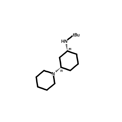 CC(C)(C)N[C@@H]1CCC[C@H](N2CCCCC2)C1